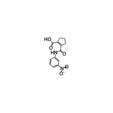 O=C(O)C1=C(C(=O)Nc2cccc([N+](=O)[O-])c2)CCC1